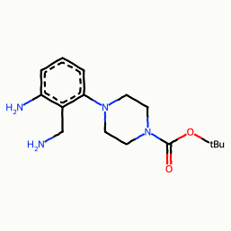 CC(C)(C)OC(=O)N1CCN(c2cccc(N)c2CN)CC1